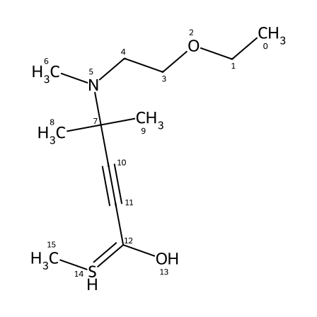 CCOCCN(C)C(C)(C)C#CC(O)=[SH]C